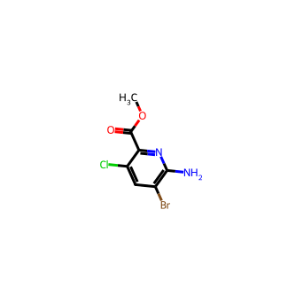 COC(=O)c1nc(N)c(Br)cc1Cl